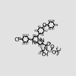 CC(C)(C)OC(=O)[C@@H]1COC(C)(C)N1C(=O)c1cc2nc(-c3ccc(Cl)cc3)cc(-c3ccc(Oc4ccccc4)cc3)n2n1